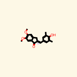 COc1cc2c(cc1OC)C(=O)/C(=C/c1cc(C)c(O)c(C)c1)C2